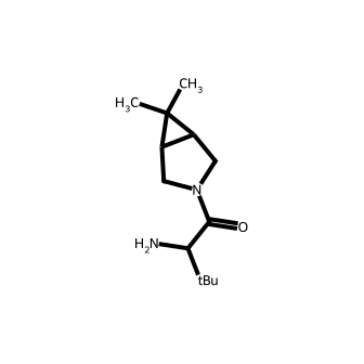 CC(C)(C)C(N)C(=O)N1CC2C(C1)C2(C)C